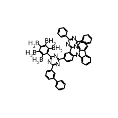 Bc1c(B)c(B)c(-c2nc(-c3cccc(-c4ccccc4)c3)nc(-c3ccc(-n4c5ccccc5c5ccccc54)c(-c4nc(-c5ccccc5)nc(-c5ccccc5)n4)c3)n2)c(B)c1B